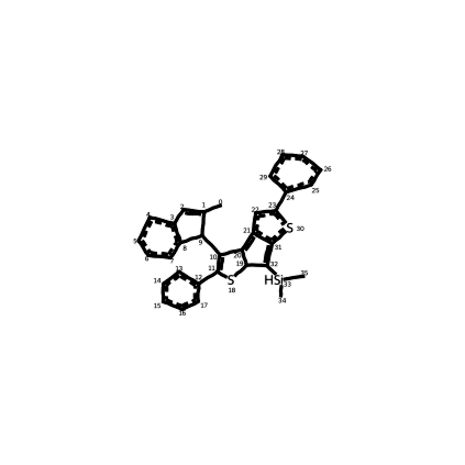 CC1=Cc2ccccc2C1C1=C(c2ccccc2)SC2C1=c1cc(-c3ccccc3)sc1=C2[SiH](C)C